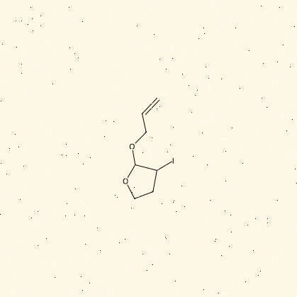 C=CCOC1OCCC1I